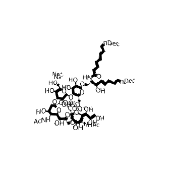 CCCCCCCCCCCCC/C=C/[C@@H](O)[C@H](CO[C@@H]1O[C@H](CO)[C@@H](O[C@@H]2O[C@H](CO)[C@H](O)[C@H](O[C@]3(C(=O)[O-])C[C@H](O)[C@@H](NC(C)=O)[C@H]([C@H](O)[C@@H](CO)O[C@]4(C(=O)[O-])C[C@H](O)[C@@H](NC(C)=O)[C@H]([C@H](O)[C@H](O)CO)O4)O3)[C@H]2O)[C@H](O)[C@H]1O)NC(=O)CCCCCCCCCCCCCCCCC.[Na+].[Na+]